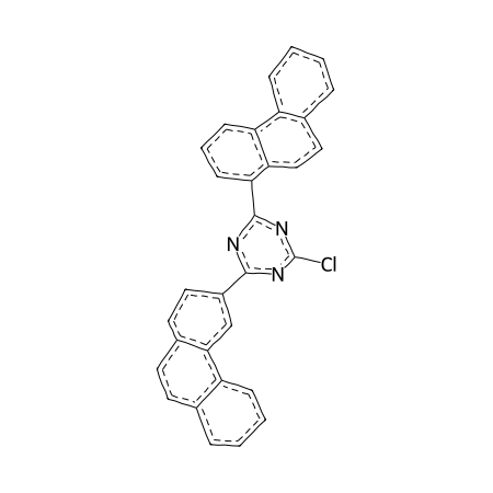 Clc1nc(-c2ccc3ccc4ccccc4c3c2)nc(-c2cccc3c2ccc2ccccc23)n1